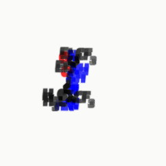 CCOc1nc(C(F)(F)F)cc(NC(=O)NCc2cc(C)c(-c3c(C(F)(F)F)n[nH]c3C)nn2)c1CC